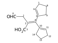 O=CCC(C(=O)O)=C(C1=CCCC1)C1=CCCC1